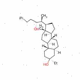 CC[C@]1(O)CC[C@H]2[C@@H](CC[C@@H]3[C@@H]2CC[C@]2(C)[C@@H]([C@H](C)[C@H](O)CCC(C)C)CC[C@@H]32)C1